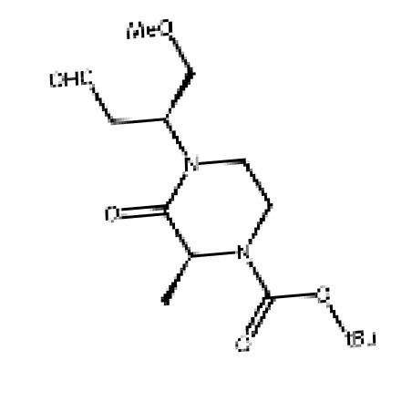 COC[C@H](CC=O)N1CCN(C(=O)OC(C)(C)C)[C@@H](C)C1=O